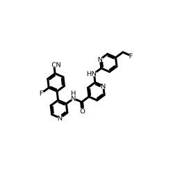 N#Cc1ccc(-c2ccncc2NC(=O)c2ccnc(Nc3ccc(CF)cn3)c2)c(F)c1